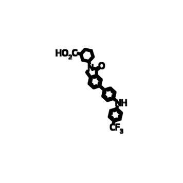 O=C(O)C1CCCC(N2Cc3ccc(-c4ccc(Nc5ccc(C(F)(F)F)cc5)cc4)cc3C2=O)C1